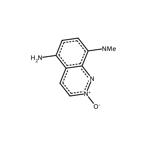 CNc1ccc(N)c2cc[n+]([O-])nc12